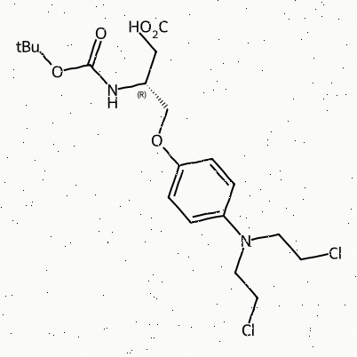 CC(C)(C)OC(=O)N[C@@H](COc1ccc(N(CCCl)CCCl)cc1)CC(=O)O